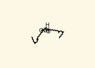 CCCCCC1CC1CC1CC1CCCCCCCC(=O)NCC(C)CNC(=O)CCCCCCC1C2C(CC3CC3CCCCC)C12